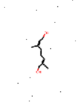 CC(=CCC/C(C)=C\CO)CO